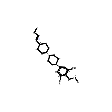 CC/C=C/C1CCC([C@H]2CC[C@H](c3cc(F)c(COC)c(F)c3)CC2)CC1